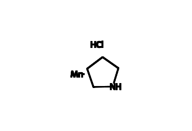 C1CCNC1.Cl.[Mn]